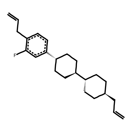 C=CCc1ccc([C@H]2CC[C@H]([C@H]3CC[C@H](CC=C)CC3)CC2)cc1F